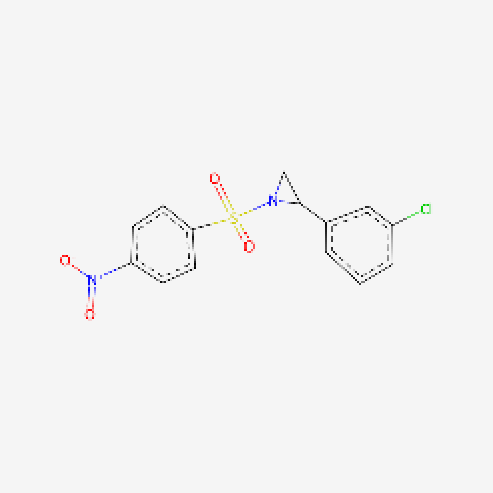 O=[N+]([O-])c1ccc(S(=O)(=O)N2CC2c2cccc(Cl)c2)cc1